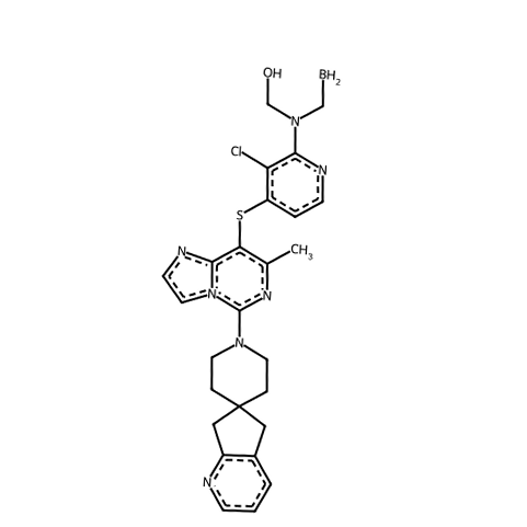 BCN(CO)c1nccc(Sc2c(C)nc(N3CCC4(CC3)Cc3cccnc3C4)n3ccnc23)c1Cl